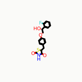 O=C1NC(=O)C(Cc2ccc(OC[C@H](O)c3ccccc3F)cc2)S1